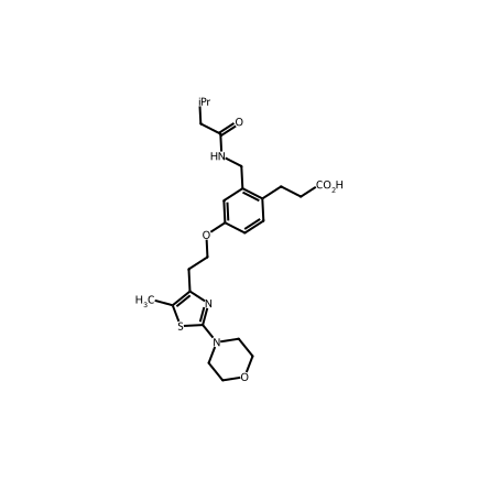 Cc1sc(N2CCOCC2)nc1CCOc1ccc(CCC(=O)O)c(CNC(=O)CC(C)C)c1